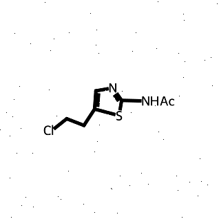 CC(=O)Nc1ncc(CCCl)s1